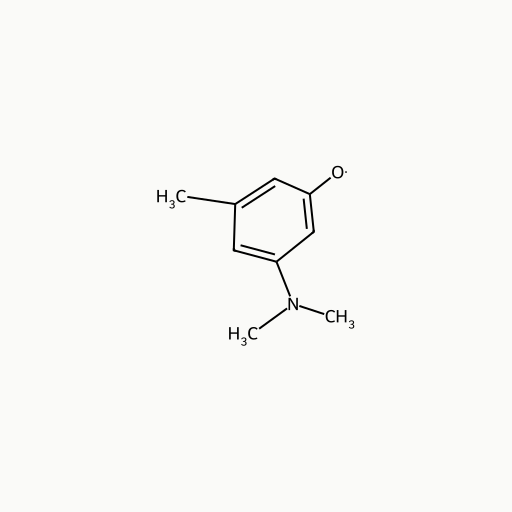 Cc1cc([O])cc(N(C)C)c1